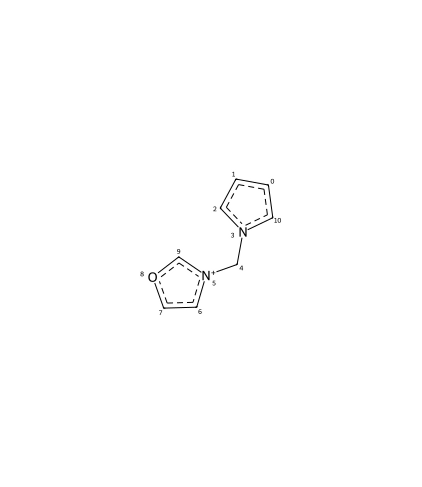 c1ccn(C[n+]2ccoc2)c1